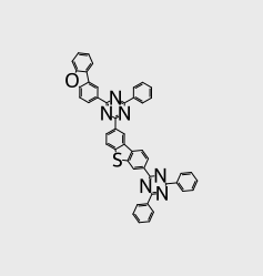 c1ccc(-c2nc(-c3ccccc3)nc(-c3ccc4c(c3)sc3ccc(-c5nc(-c6ccccc6)nc(-c6ccc7oc8ccccc8c7c6)n5)cc34)n2)cc1